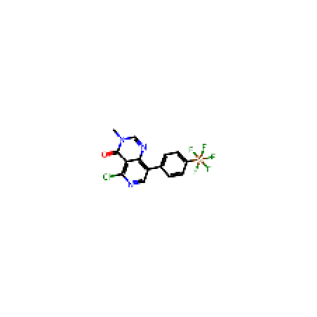 Cn1cnc2c(-c3ccc(S(F)(F)(F)(F)F)cc3)cnc(Cl)c2c1=O